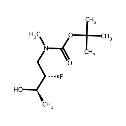 C[C@@H](O)[C@@H](F)CN(C)C(=O)OC(C)(C)C